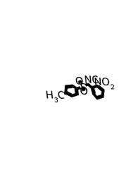 [C-]#[N+]C(c1ccccc1[N+](=O)[O-])S(=O)(=O)c1ccc(C)cc1